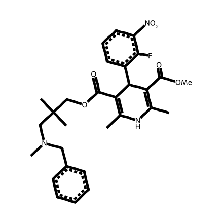 COC(=O)C1=C(C)NC(C)=C(C(=O)OCC(C)(C)CN(C)Cc2ccccc2)C1c1cccc([N+](=O)[O-])c1F